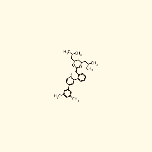 Cc1cc(C)cc(C2=CC(c3ccccc3C=C3OC(CC(C)C)CC(CC(C)C)O3)NC=C2)c1